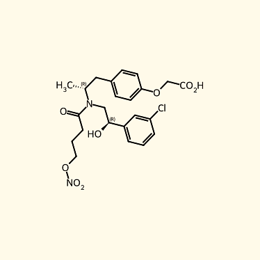 C[C@H](Cc1ccc(OCC(=O)O)cc1)N(C[C@H](O)c1cccc(Cl)c1)C(=O)CCCO[N+](=O)[O-]